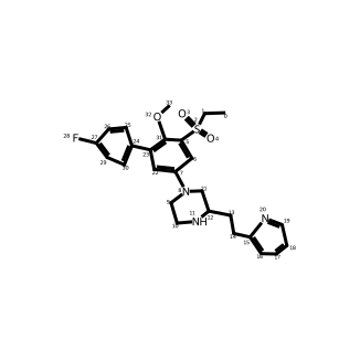 CCS(=O)(=O)c1cc(N2CCNC(CCc3ccccn3)C2)cc(-c2ccc(F)cc2)c1OC